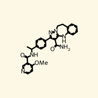 COc1ccncc1C(=O)NC(C)c1ccc(-c2nn3c(c2C(N)=O)Nc2ccccc2CC3)cc1